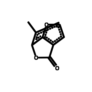 Cc1c2c3oc1cc3C(=O)O2